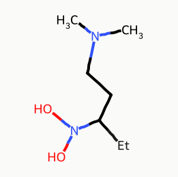 CCC(CCN(C)C)N(O)O